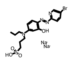 CCCN(CCCS(=O)(=O)O)c1ccc(N=Nc2ccc(Br)cn2)c(O)c1.[Na].[Na]